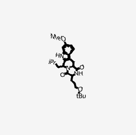 COc1ccc2c3c([nH]c2c1)C(CC(C)C)N1C(=O)C(CCCOC(C)(C)C)NC(=O)C1C3